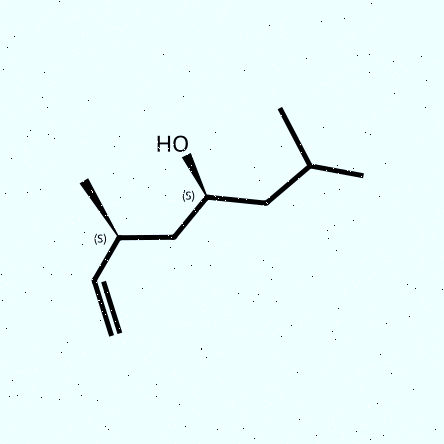 C=C[C@@H](C)C[C@@H](O)CC(C)C